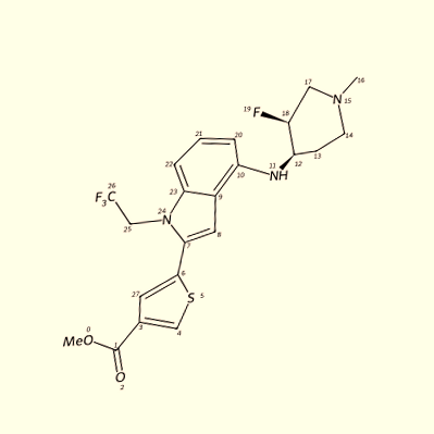 COC(=O)c1csc(-c2cc3c(N[C@@H]4CCN(C)C[C@@H]4F)cccc3n2CC(F)(F)F)c1